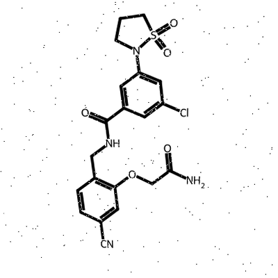 N#Cc1ccc(CNC(=O)c2cc(Cl)cc(N3CCCS3(=O)=O)c2)c(OCC(N)=O)c1